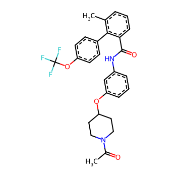 CC(=O)N1CCC(Oc2cccc(NC(=O)c3cccc(C)c3-c3ccc(OC(F)(F)F)cc3)c2)CC1